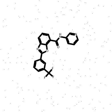 O=C(Nc1cccnc1)c1cccc2nc(-c3cccc(C(F)(F)F)c3)oc12